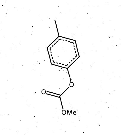 [CH2]OC(=O)Oc1ccc(C)cc1